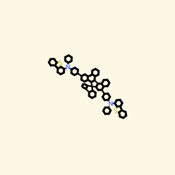 c1ccc(N(c2ccc(-c3ccc4c5c(c6ccccc6c4c3)-c3c(cc(-c4ccc(N(c6ccccc6)c6cccc7c6sc6ccccc67)cc4)c4ccccc34)C53c4ccccc4-c4ccccc43)cc2)c2cccc3c2sc2ccccc23)cc1